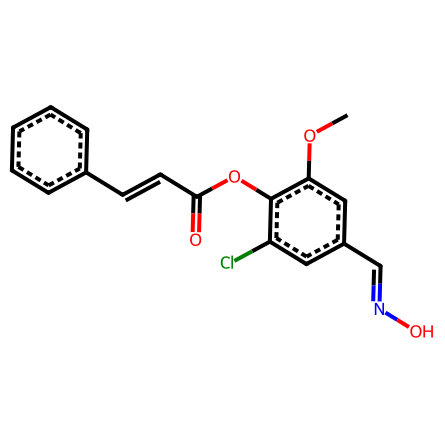 COc1cc(/C=N/O)cc(Cl)c1OC(=O)C=Cc1ccccc1